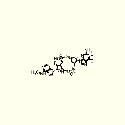 CNc1ncnc2c1ncn2[C@@H]1O[C@@H]2COP(=O)(O)OC3C[C@@H](COP(=O)(O)OC2C1F)O[C@H]3n1cnc2c(=O)[nH]c(N)nc21